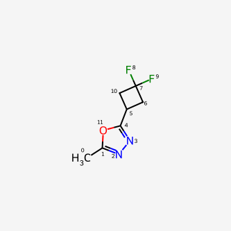 Cc1nnc(C2CC(F)(F)C2)o1